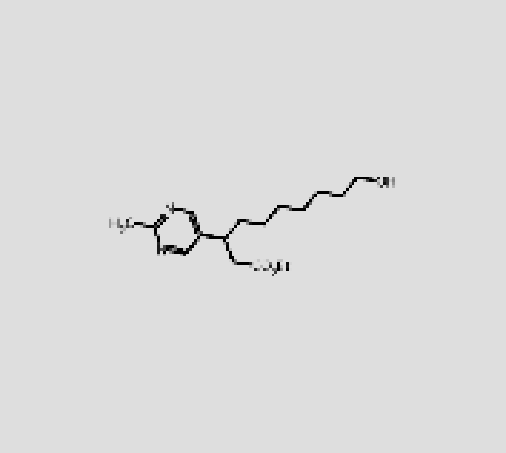 CCOC(=O)CC(CCCCCCCO)c1cnc(C)nc1